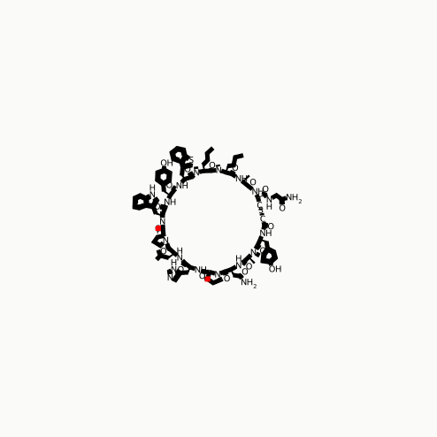 CCCC[C@H]1C(=O)N(C)[C@@H](CCCC)C(=O)N[C@@H](C)C(=O)N[C@H](C(=O)NCC(N)=O)CSCC(=O)N[C@@H](Cc2ccc(O)cc2)C(=O)N(C)[C@@H](C)C(=O)N[C@@H](CC(N)=O)C(=O)N2CCC[C@H]2C(=O)N[C@@H](Cc2cnc[nH]2)C(=O)N[C@@H](CC(C)C)C(=O)N2CCC[C@H]2C(=O)N[C@@H](Cc2c[nH]c3ccccc23)C(=O)N[C@@H](Cc2ccc(O)cc2)C(=O)N[C@@H](Cc2csc3ccccc23)C(=O)N1C